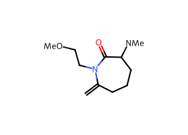 C=C1CCCC(NC)C(=O)N1CCOC